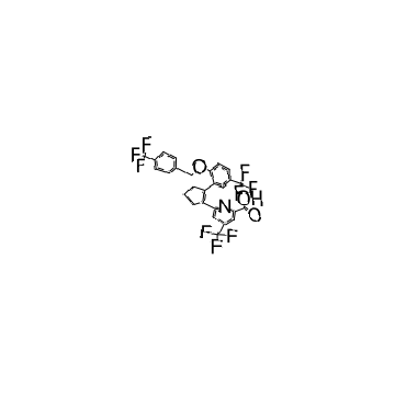 O=C(O)c1cc(C(F)(F)F)cc(C2=C(c3cc(C(F)(F)F)ccc3OCc3ccc(C(F)(F)F)cc3)CCC2)n1